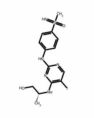 C[C@H](CO)Nc1nc(Nc2ccc(S(C)(=N)=O)cc2)ncc1I